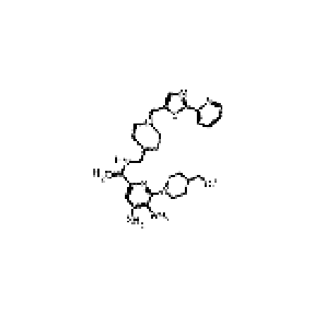 C=C(NCC1CCN(Cc2cnc(-c3ccccn3)s2)CC1)c1cc(N)c(N)c(N2CCC(CO)CC2)n1